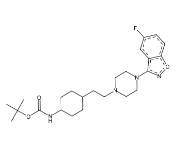 CC(C)(C)OC(=O)NC1CCC(CCN2CCN(c3noc4ccc(F)cc34)CC2)CC1